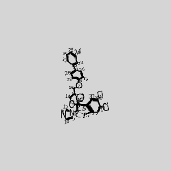 Clc1cc(Cl)c(C2(Cn3ccnc3)OCC(COc3ccc(-c4ccccc4)cc3)O2)cc1Cl